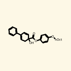 CCCCCCCCOc1ccc(OC(=O)C2(O)C=CC(c3ccccc3)=CC2)cc1